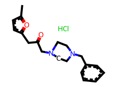 Cc1ccc(CC(=O)CN2CCN(Cc3ccccc3)CC2)o1.Cl